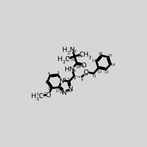 COc1cccn2c([C@@H](COCc3ccccc3)NC(=O)C(C)(C)N)nnc12